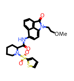 COCCN1C(=O)c2cccc3c(NC(=O)C4CCCCN4S(=O)(=O)c4cccs4)ccc1c23